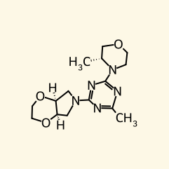 Cc1nc(N2C[C@@H]3OCCO[C@@H]3C2)nc(N2CCOC[C@H]2C)n1